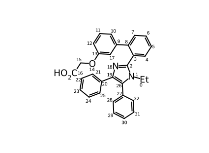 CCn1c(-c2ccccc2-c2cccc(OCC(=O)O)c2)nc(-c2ccccc2)c1-c1ccccc1